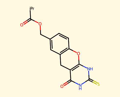 CC(C)C(=O)OCc1ccc2c(c1)Cc1c([nH]c(=S)[nH]c1=O)O2